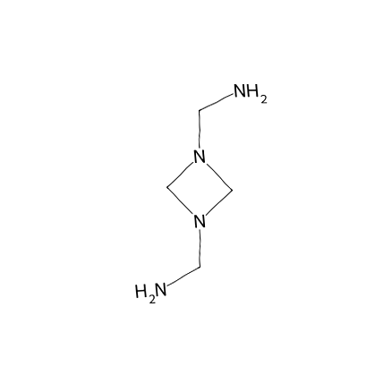 NCN1CN(CN)C1